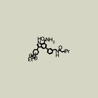 CCS(=O)(=O)N1CCC(c2c[nH]c3c(C(N)=O)cc(-c4cccc(CNC(=O)CC(C)C)c4)cc23)CC1